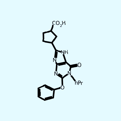 CCCn1c(Oc2ccccc2)nc2nc(C3CCC(C(=O)O)C3)[nH]c2c1=O